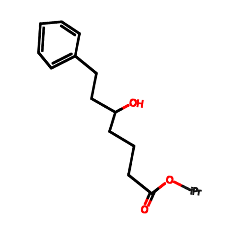 CC(C)OC(=O)CCCC(O)CCc1ccccc1